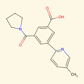 Cc1ccc(-c2cc(C(=O)O)cc(C(=O)N3CCCC3)c2)nc1